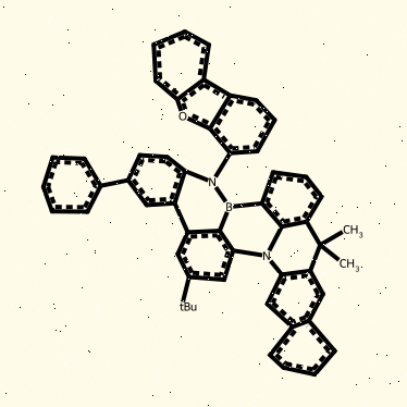 CC(C)(C)c1cc2c3c(c1)N1c4cc5ccccc5cc4C(C)(C)c4cccc(c41)B3N(c1cccc3c1oc1ccccc13)c1ccc(-c3ccccc3)cc1-2